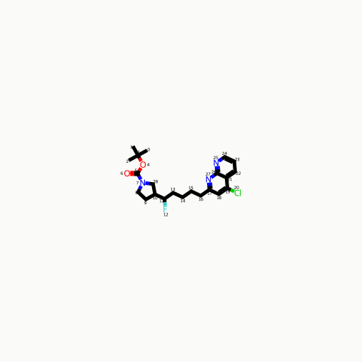 CC(C)(C)OC(=O)N1CCC(C(F)CCCCc2cc(Cl)c3cccnc3n2)C1